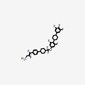 CC/C(F)=C(\F)c1ccc(C2CCC(C(F)(F)Oc3cc(F)c(C4CCC(c5cc(F)c(F)c(F)c5)CC4)c(F)c3)CC2)cc1